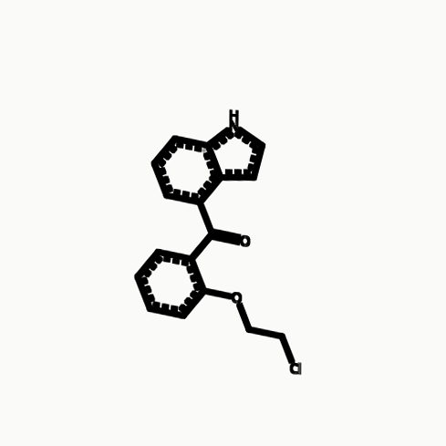 O=C(c1ccccc1OCCCl)c1cccc2[nH]ccc12